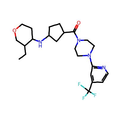 CCC1COCCC1NC1CCC(C(=O)N2CCN(c3cc(C(F)(F)F)ccn3)CC2)C1